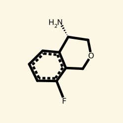 N[C@@H]1COCc2c(F)cccc21